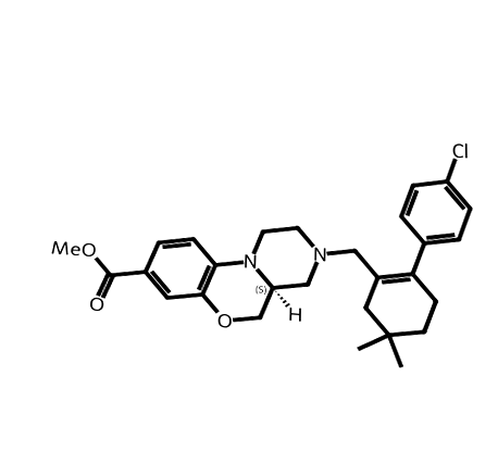 COC(=O)c1ccc2c(c1)OC[C@@H]1CN(CC3=C(c4ccc(Cl)cc4)CCC(C)(C)C3)CCN21